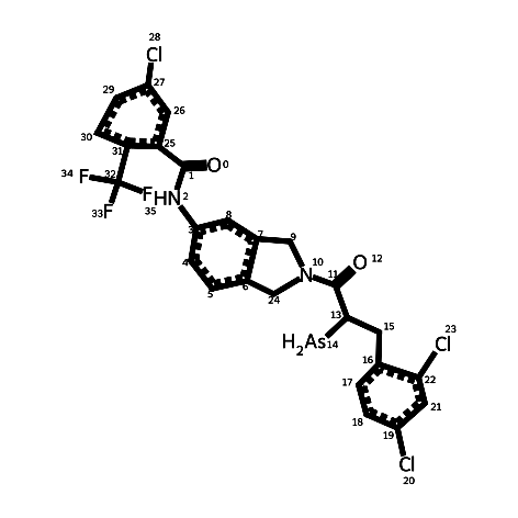 O=C(Nc1ccc2c(c1)CN(C(=O)C([AsH2])Cc1ccc(Cl)cc1Cl)C2)c1cc(Cl)ccc1C(F)(F)F